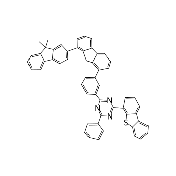 CC1(C)c2ccccc2-c2ccc(-c3cccc4c3Cc3c(-c5cccc(-c6nc(-c7ccccc7)nc(-c7cccc8c7sc7ccccc78)n6)c5)cccc3-4)cc21